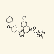 CN(C)CC(=O)N1Cc2cc(Cl)ccc2-n2c(nnc2[C@H]2CC[C@H](Oc3ccccc3)CC2)C1